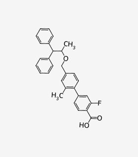 Cc1cc(COC(C)C(c2ccccc2)c2ccccc2)ccc1-c1ccc(C(=O)O)c(F)c1